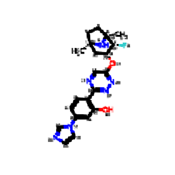 C[C@]12CC[C@](C)(N1)[C@H](F)[C@H](Oc1cnc(-c3ccc(-n4ccnc4)cc3O)nn1)C2